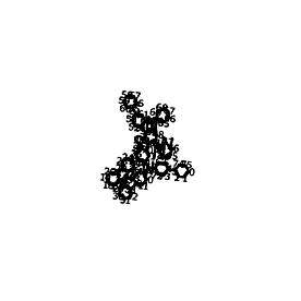 c1ccc(-c2ccc(N(c3ccc4c(c3)C3(c5ccccc5-c5ccccc53)c3ccccc3-4)c3ccc4sc5c(c(-c6ncccn6)cc6c5c5ccc(-c7ccccc7)cc5n6-c5ccccc5)c4c3)cc2)cc1